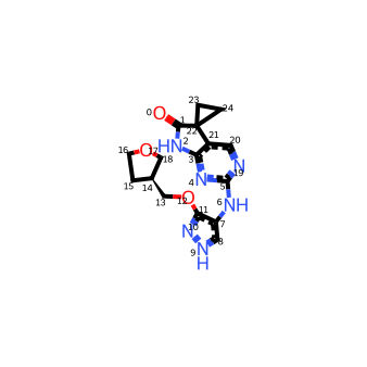 O=C1Nc2nc(Nc3c[nH]nc3OC[C@H]3CCOC3)ncc2C12CC2